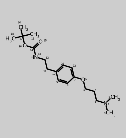 CN(C)CCCOc1ccc(CCNC(=O)OC(C)(C)C)cc1